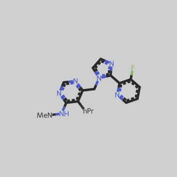 CCCc1c(Cn2ccnc2-c2ncccc2F)ncnc1NNC